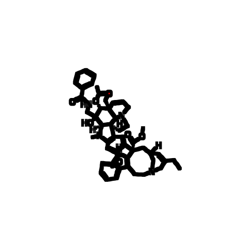 CCC1=C[C@@H]2CN(CCc3c([nH]c4ccccc34)[C@@](C(=O)OC)(c3cc4c(cc3OC)N(C)[C@H]3C(O)(CNC(=O)c5ccccc5)[C@H](OC(C)=O)[C@]5(CC)C=CCN6CC[C@]43[C@@H]65)C2)C1